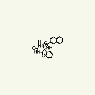 O=C1NC(=O)C(NC(=O)c2ccc3ccccc3c2)(c2ccccc2)C(=O)N1